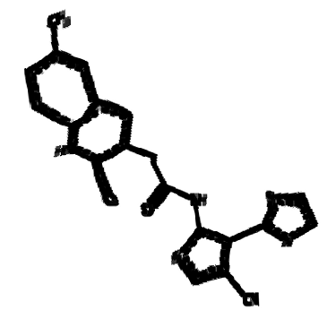 N#Cc1csc(NC(=O)Cc2cc3cc(C(F)(F)F)ccc3[nH]c2=O)c1-c1nccs1